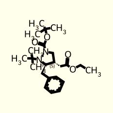 CCOC(=O)C[C@H]1CN(C(=O)OC(C)(C)C)N(C(C)(C)C)[C@@H]1Cc1ccccc1